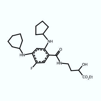 CCOC(=O)C(O)CCNC(=O)c1cc(F)c(NC2CCCCC2)cc1NC1CCCC1